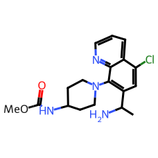 COC(=O)NC1CCN(c2c(C(C)N)cc(Cl)c3cccnc23)CC1